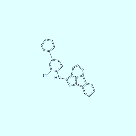 Clc1cc(-c2ccccc2)ccc1Nc1cc2c3ccccc3c3cccc1n32